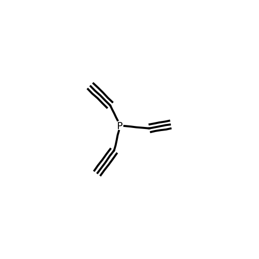 C#CP(C#C)C#C